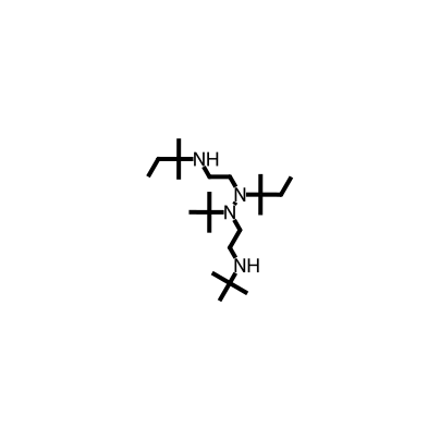 CCC(C)(C)NCCN(N(CCNC(C)(C)C)C(C)(C)C)C(C)(C)CC